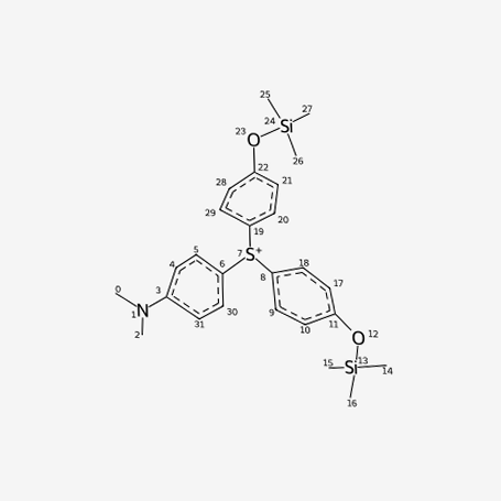 CN(C)c1ccc([S+](c2ccc(O[Si](C)(C)C)cc2)c2ccc(O[Si](C)(C)C)cc2)cc1